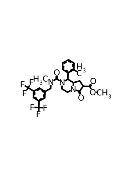 COC(=O)C1CC2C(c3ccccc3C)N(C(=O)N(C)Cc3cc(C(F)(F)F)cc(C(F)(F)F)c3)CCN2C1=O